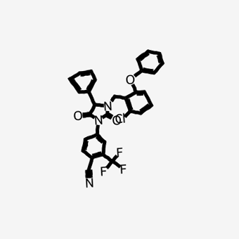 N#Cc1ccc(N2C(=O)C(c3ccccc3)N(Cc3c(Cl)cccc3Oc3ccccc3)C2=O)cc1C(F)(F)F